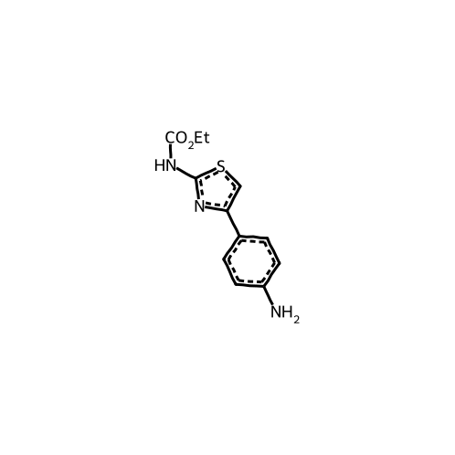 CCOC(=O)Nc1nc(-c2ccc(N)cc2)cs1